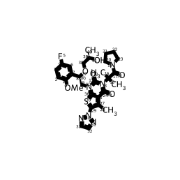 COc1ccc(F)cc1[C@H](Cn1c(=O)n(C(C)(C)C(=O)N2CCCC2)c(=O)c2c(C)c(-n3nccn3)sc21)OC[C@H](C)O